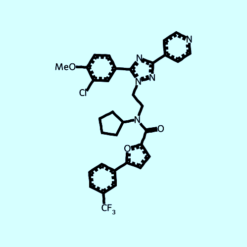 COc1ccc(-c2nc(-c3ccncc3)nn2CCN(C(=O)c2ccc(-c3cccc(C(F)(F)F)c3)o2)C2CCCC2)cc1Cl